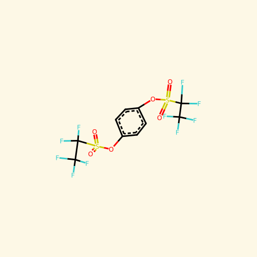 O=S(=O)(Oc1ccc(OS(=O)(=O)C(F)(F)C(F)(F)F)cc1)C(F)(F)C(F)(F)F